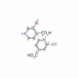 O=C(O)c1ccnc(Cl)c1.O=C(O)c1ccncc1Br